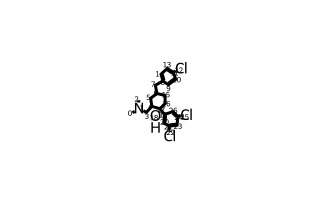 CN(C)CC1CC(Cc2ccc(Cl)cc2)CCC1(O)c1cc(Cl)cc(Cl)c1